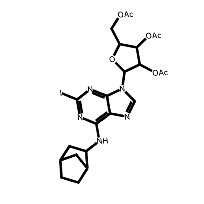 CC(=O)OCC1OC(n2cnc3c(NC4CC5CCC4C5)nc(I)nc32)C(OC(C)=O)C1OC(C)=O